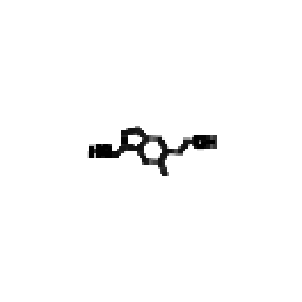 CC1CC2C(CO)CCC2CC1CCO